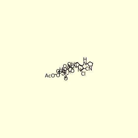 CC(=O)OCOP(=O)(CS(=O)(=O)C[C@H]1O[C@@H](n2ccc3c(NC4CCCC4)c(C#N)c(Cl)nc32)[C@H](O)[C@@H]1O)OCOC(C)=O